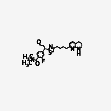 CN(C)C(=O)c1ccc(C(CC=O)c2nc(CCCCc3ccc4c(n3)NCCC4)cs2)cc1F